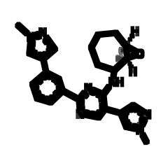 Cn1cc(-c2cccc(-c3ncc(-c4cnn(C)c4)c(NC4CCCC[C@H]5O[C@@H]45)n3)c2)cn1